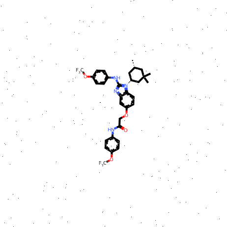 C[C@H]1C[C@@H](n2c(Nc3ccc(OC(F)(F)F)cc3)nc3cc(OCC(=O)Nc4ccc(OC(F)(F)F)cc4)ccc32)CC(C)(C)C1